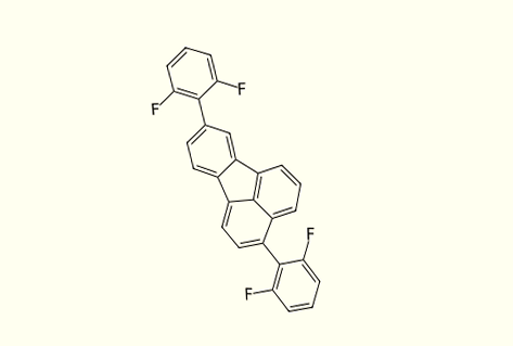 Fc1cccc(F)c1-c1ccc2c(c1)-c1cccc3c(-c4c(F)cccc4F)ccc-2c13